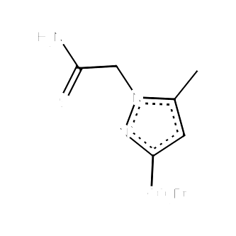 CCOC(=O)c1cc(C)n(CC(N)=S)n1